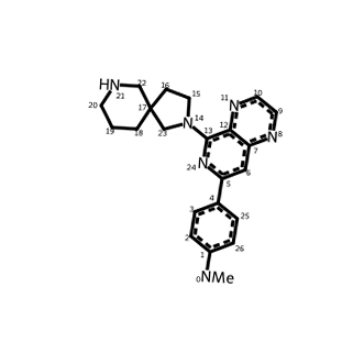 CNc1ccc(-c2cc3nccnc3c(N3CCC4(CCCNC4)C3)n2)cc1